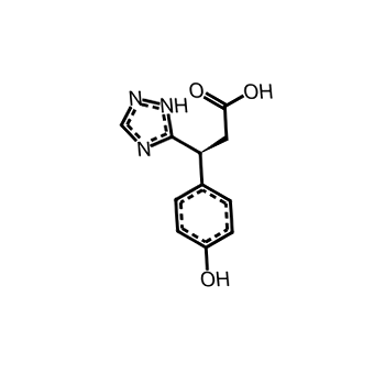 O=C(O)C[C@@H](c1ccc(O)cc1)c1ncn[nH]1